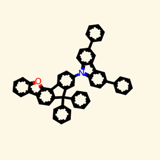 c1ccc(-c2ccc3c(c2)c2cc(-c4ccccc4)ccc2n3-c2ccc3c(c2)C(c2ccccc2)(c2ccccc2)c2ccc4c(oc5ccccc54)c2-3)cc1